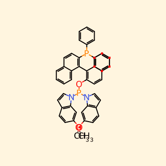 COc1ccc2ccn(P(Oc3ccc4ccccc4c3-c3c(P(c4ccccc4)c4ccccc4)ccc4ccccc34)n3ccc4ccc(OC)cc43)c2c1